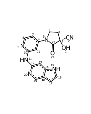 N#C[C@@]1(O)CCN(c2ccnc(Nc3cc4[nH]ccc4cn3)c2)C1=O